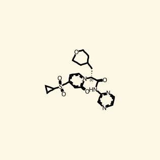 O=C(Nc1cnccn1)[C@@H](CC1CCOCC1)n1ccc(S(=O)(=O)C2CC2)cc1=O